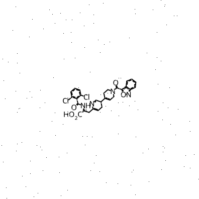 O=C(N[C@@H](CC1=CCC(C2=CCN(C(=O)c3onc4ccccc34)CC2)C=N1)C(=O)O)c1c(Cl)cccc1Cl